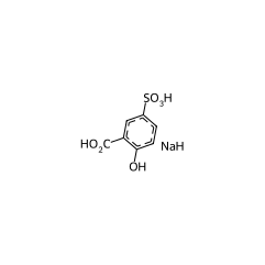 O=C(O)c1cc(S(=O)(=O)O)ccc1O.[NaH]